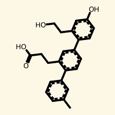 Cc1cccc(-c2ccc(-c3ccc(O)cc3CCO)cc2CCC(=O)O)c1